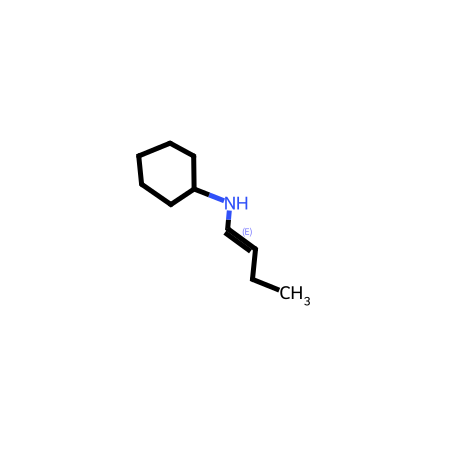 CC/C=C/NC1CCCCC1